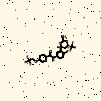 C[C@]1(c2cc(NC(=O)c3ccc(OCC(F)(F)F)cn3)ccc2F)C[C@@H](C(F)(F)F)OC(N)=N1